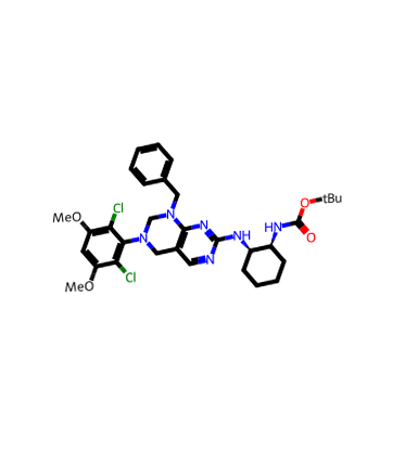 COc1cc(OC)c(Cl)c(N2Cc3cnc(N[C@@H]4CCCC[C@@H]4NC(=O)OC(C)(C)C)nc3N(Cc3ccccc3)C2)c1Cl